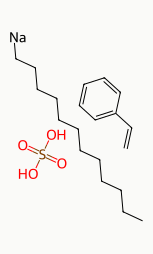 C=Cc1ccccc1.CCCCCCCCCCC[CH2][Na].O=S(=O)(O)O